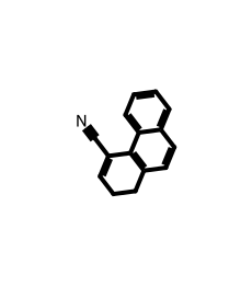 N#CC1=CCCc2ccc3ccccc3c21